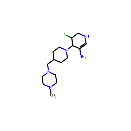 CN1CCN(CC2CCN(C3C(N)=CNCC3F)CC2)CC1